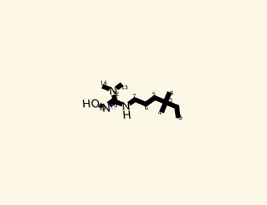 CCC(C)(C)CCCN/C(=N/O)N(C)C